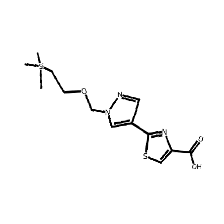 C[Si](C)(C)CCOCn1cc(-c2nc(C(=O)O)cs2)cn1